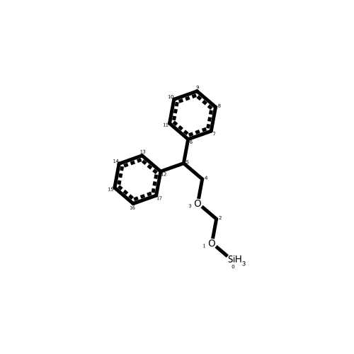 [SiH3]OCOCC(c1ccccc1)c1ccccc1